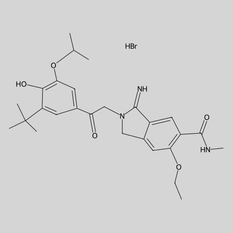 Br.CCOc1cc2c(cc1C(=O)NC)C(=N)N(CC(=O)c1cc(OC(C)C)c(O)c(C(C)(C)C)c1)C2